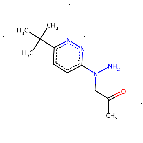 CC(=O)CN(N)c1ccc(C(C)(C)C)nn1